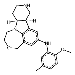 COc1ccc(C)cc1Nc1cc2c3c(c1)[C@@H]1CNCC[C@@H]1N3CCOC2